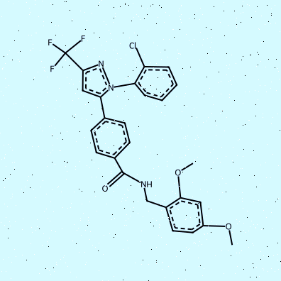 COc1ccc(CNC(=O)c2ccc(-c3cc(C(F)(F)F)nn3-c3ccccc3Cl)cc2)c(OC)c1